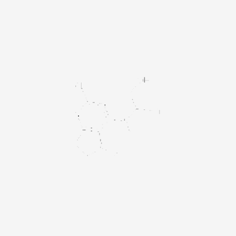 CC(C)C(CO)N(C)c1nc(Cl)nc2c1[S+]([O-])CC2